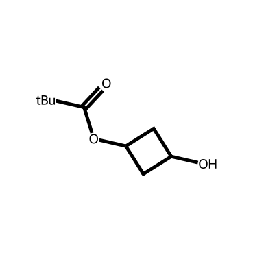 CC(C)(C)C(=O)OC1CC(O)C1